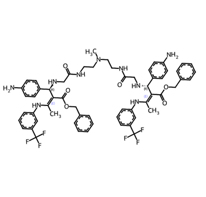 C/C(Nc1cccc(C(F)(F)F)c1)=C(\C(=O)OCc1ccccc1)[C@H](NCC(=O)NCCN(C)CCNC(=O)CN[C@@H](/C(C(=O)OCc1ccccc1)=C(/C)Nc1cccc(C(F)(F)F)c1)c1ccc(N)cc1)c1ccc(N)cc1